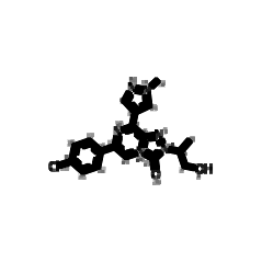 CC(CO)n1nc2c(-c3cnn(C)c3)nc(-c3ccc(Cl)cc3)cn2c1=O